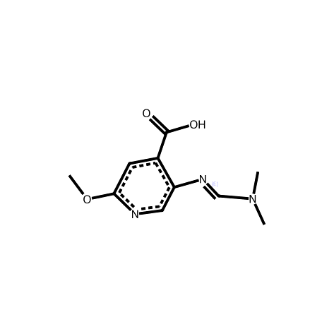 COc1cc(C(=O)O)c(/N=C/N(C)C)cn1